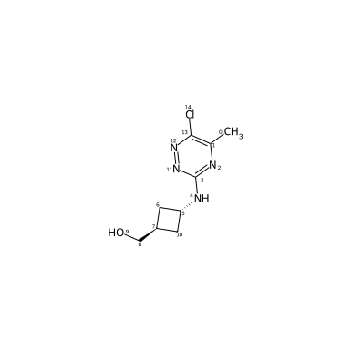 Cc1nc(N[C@H]2C[C@H](CO)C2)nnc1Cl